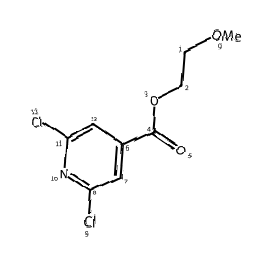 COCCOC(=O)c1cc(Cl)nc(Cl)c1